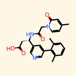 Cc1ccn(CC(=O)N[C@@H](CC(=O)O)c2cncc(-c3c(C)cccc3C)c2)c(=O)c1